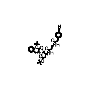 CC(C)(C)OC(=O)C[C@H](NC(=O)CCNC(=O)Cc1ccc(C#N)cc1)C(=O)N[C@@H](Cc1ccccc1)C(=O)OC(C)(C)C